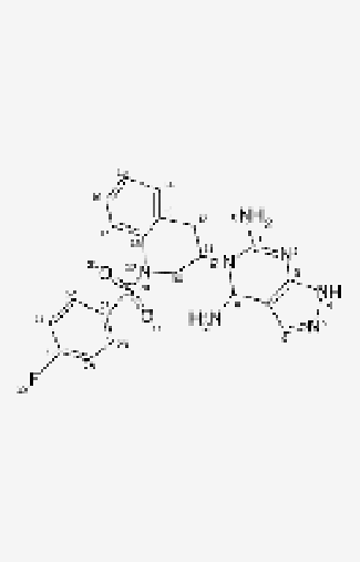 NC1=Nc2[nH]ncc2C(N)N1C1Cc2ccccc2N(S(=O)(=O)c2ccc(F)cc2)C1